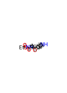 CCC(=O)ONC(=O)c1cccc(C(=O)C2CCC3(CCNCC3)CC2)c1